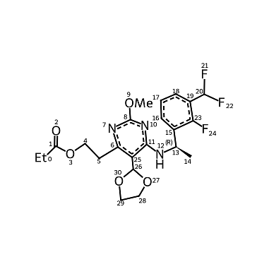 CCC(=O)OCCc1nc(OC)nc(N[C@H](C)c2cccc(C(F)F)c2F)c1C1OCCO1